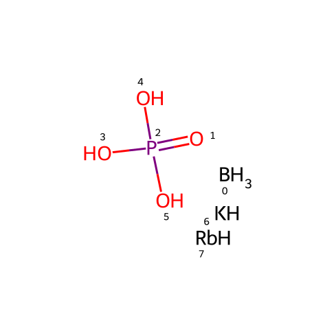 B.O=P(O)(O)O.[KH].[RbH]